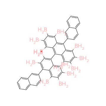 Bc1c(B)c(B)c2c(-c3c4c(B)c(B)c(B)c(B)c4c(-c4ccc5ccccc5c4)c4c(B)c(B)c(B)c(B)c34)c(B)c(B)c(-c3ccc4ccccc4c3)c2c1B